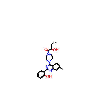 CC(=O)C[C@@H](O)C(=O)N1CCN(c2nc(-c3ccccc3O)nc3cc(C)ccc23)CC1